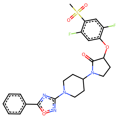 CS(=O)(=O)c1cc(F)c(OC2CCN(C3CCN(c4noc(-c5ccccc5)n4)CC3)C2=O)cc1F